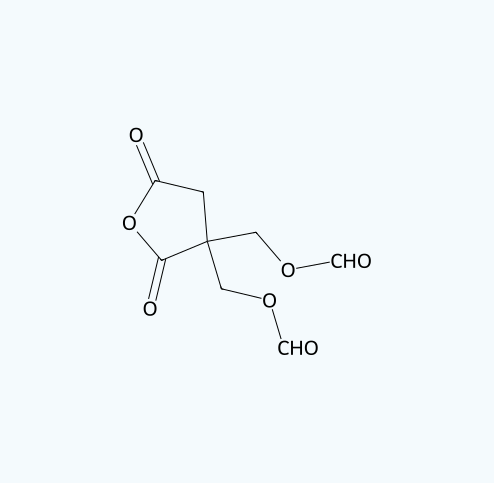 O=COCC1(COC=O)CC(=O)OC1=O